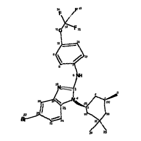 C[C@@H]1C[C@H](n2c(Nc3ccc(OC(F)(F)F)cc3)nc3cc(Br)ccc32)CC(C)(C)C1